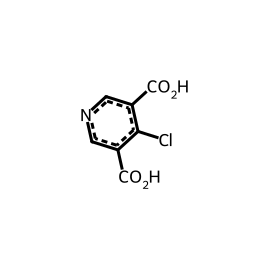 O=C(O)c1cncc(C(=O)O)c1Cl